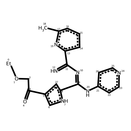 CCOCC(=O)c1c[nH]c(/C(=N\C(=N)c2cccc(C)n2)Nc2ccncc2)c1